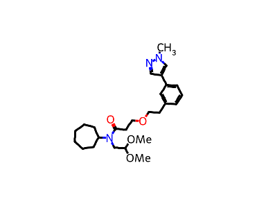 COC(CN(C(=O)CCOCCc1cccc(-c2cnn(C)c2)c1)C1CCCCCC1)OC